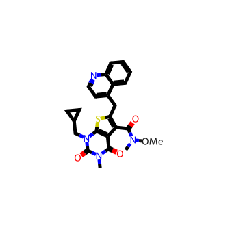 CON(C)C(=O)c1c(Cc2ccnc3ccccc23)sc2c1c(=O)n(C)c(=O)n2CC1CC1